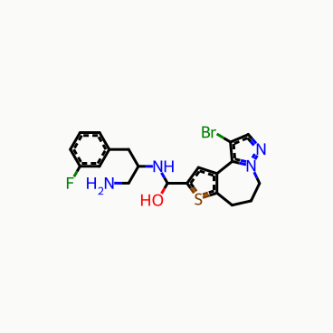 NCC(Cc1cccc(F)c1)NC(O)c1cc2c(s1)CCCn1ncc(Br)c1-2